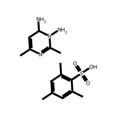 CC1=CC(N)N(N)C(C)=N1.Cc1cc(C)c(S(=O)(=O)O)c(C)c1